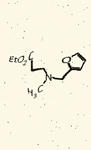 CCOC(=O)CCN(C)Cc1ccco1